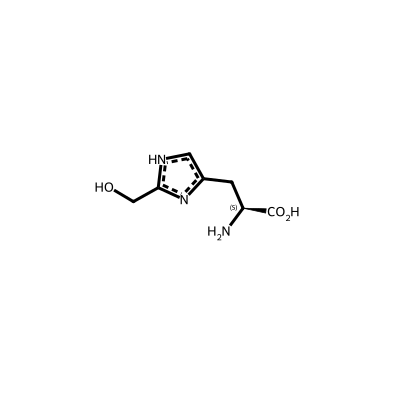 N[C@@H](Cc1c[nH]c(CO)n1)C(=O)O